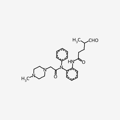 CC(C=O)CCC(=O)Nc1ccccc1N(C(=O)CN1CCN(C)CC1)c1ccccc1